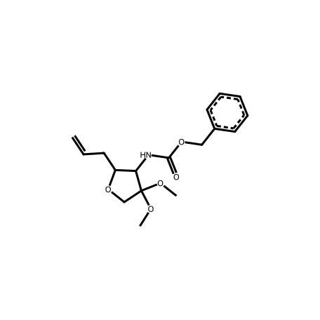 C=CCC1OCC(OC)(OC)C1NC(=O)OCc1ccccc1